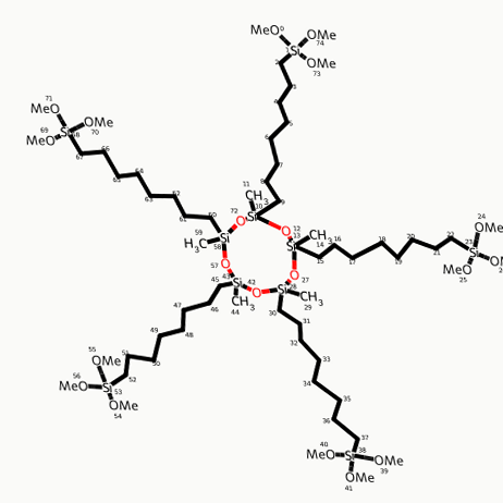 CO[Si](CCCCCCCC[Si]1(C)O[Si](C)(CCCCCCCC[Si](OC)(OC)OC)O[Si](C)(CCCCCCCC[Si](OC)(OC)OC)O[Si](C)(CCCCCCCC[Si](OC)(OC)OC)O[Si](C)(CCCCCCCC[Si](OC)(OC)OC)O1)(OC)OC